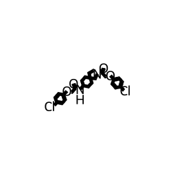 O=C(COc1ccc(Cl)cc1)NC1CCC2(CC1)CCN(C(=O)COc1ccc(Cl)cc1)C2